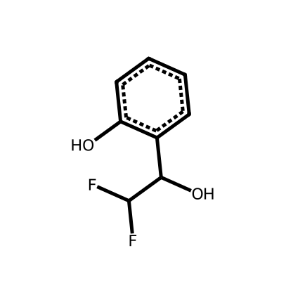 Oc1ccccc1C(O)C(F)F